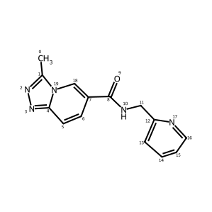 Cc1nnc2ccc(C(=O)NCc3ccccn3)cn12